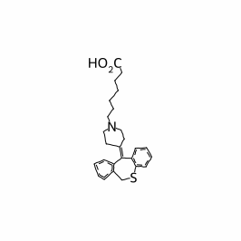 O=C(O)CCCCCCN1CCC(=C2c3ccccc3CSc3ccccc32)CC1